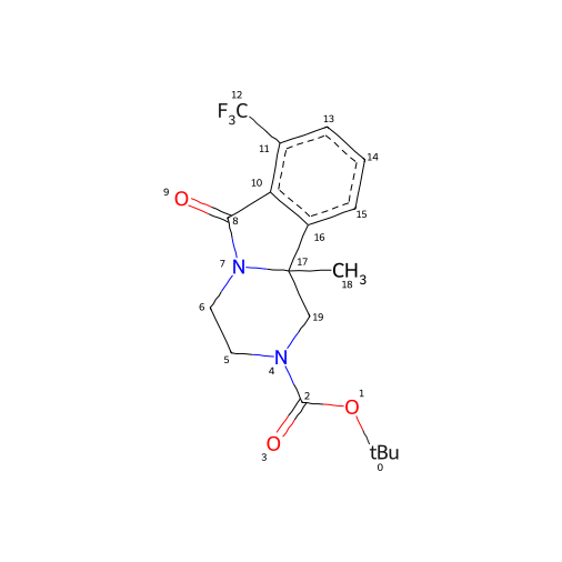 CC(C)(C)OC(=O)N1CCN2C(=O)c3c(C(F)(F)F)cccc3C2(C)C1